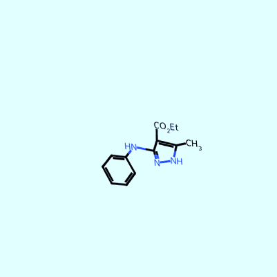 CCOC(=O)c1c(Nc2ccccc2)n[nH]c1C